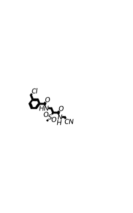 CS(=O)(=O)C(CNC(=O)c1cccc(CCl)c1)C(=O)NCC#N